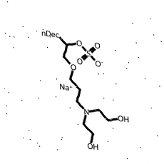 CCCCCCCCCCC(COCCCN(CCO)CCO)OS(=O)(=O)[O-].[Na+]